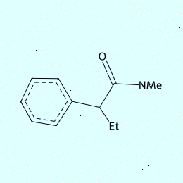 CCC(C(=O)NC)c1ccccc1